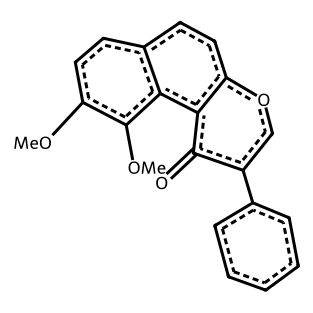 COc1ccc2ccc3occ(-c4ccccc4)c(=O)c3c2c1OC